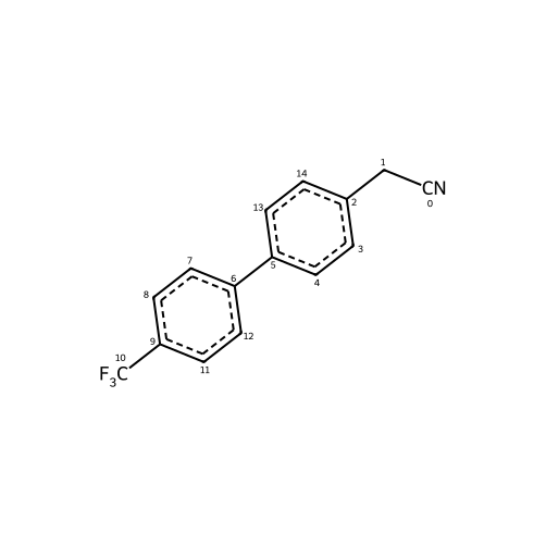 N#CCc1ccc(-c2ccc(C(F)(F)F)cc2)cc1